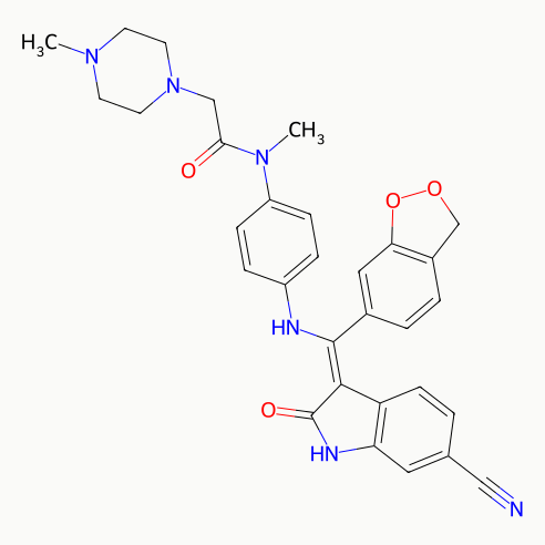 CN1CCN(CC(=O)N(C)c2ccc(N/C(=C3\C(=O)Nc4cc(C#N)ccc43)c3ccc4c(c3)OOC4)cc2)CC1